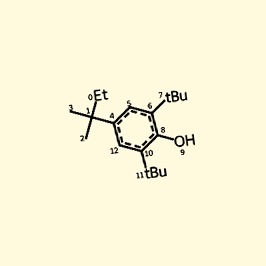 CCC(C)(C)c1cc(C(C)(C)C)c(O)c(C(C)(C)C)c1